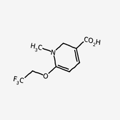 CN1CC(C(=O)O)=CC=C1OCC(F)(F)F